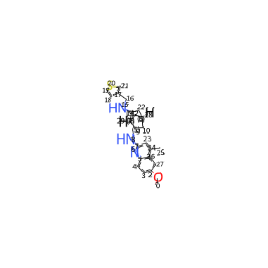 COc1ccc2nc(N[C@H]3C[C@H]4C[C@@H]3[C@@H](NCc3ccsc3)C4)cc(C)c2c1